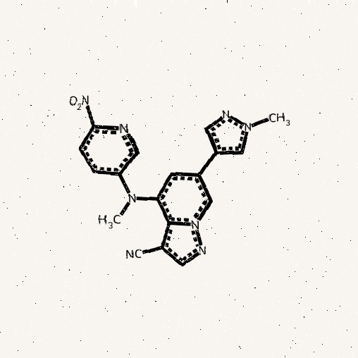 CN(c1ccc([N+](=O)[O-])nc1)c1cc(-c2cnn(C)c2)cn2ncc(C#N)c12